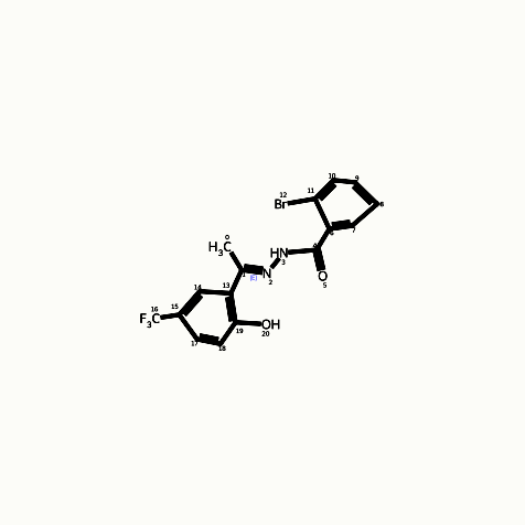 C/C(=N\NC(=O)c1ccccc1Br)c1cc(C(F)(F)F)ccc1O